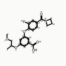 COCC(C)Oc1cc(Oc2ccc(C(=O)N3CCC3)cc2F)cc(C(=O)O)c1